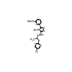 COc1cccc(-c2nnc(NSC(C)Cc3ncc(Cl)cn3)n2C(C)C)n1